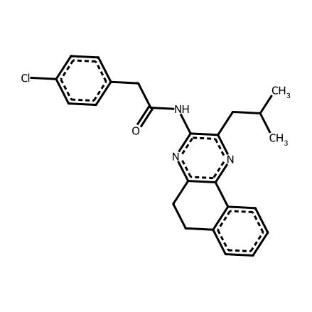 CC(C)Cc1nc2c(nc1NC(=O)Cc1ccc(Cl)cc1)CCc1ccccc1-2